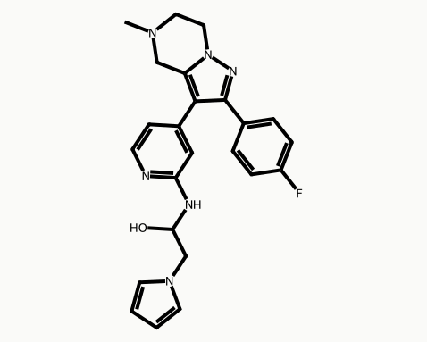 CN1CCn2nc(-c3ccc(F)cc3)c(-c3ccnc(NC(O)Cn4cccc4)c3)c2C1